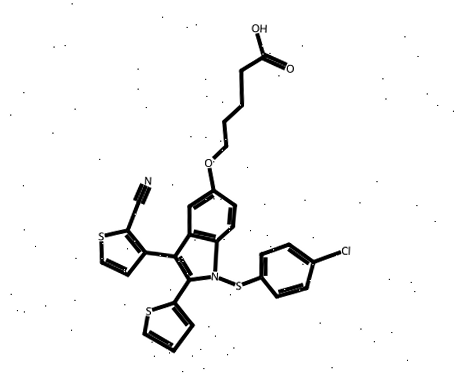 N#Cc1sccc1-c1c(-c2cccs2)n(Sc2ccc(Cl)cc2)c2ccc(OCCCCC(=O)O)cc12